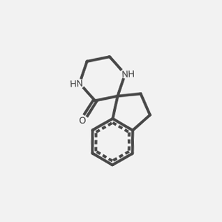 O=C1NCCNC12CCc1ccccc12